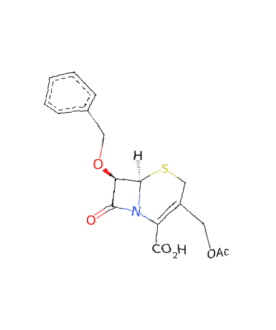 CC(=O)OCC1=C(C(=O)O)N2C(=O)[C@@H](OCc3ccccc3)[C@H]2SC1